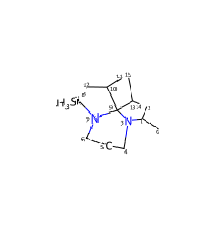 CC(C)N1CCCN([SiH3])C1(C(C)C)C(C)C